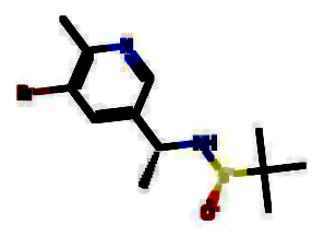 Cc1ncc([C@@H](C)N[S@+]([O-])C(C)(C)C)cc1Br